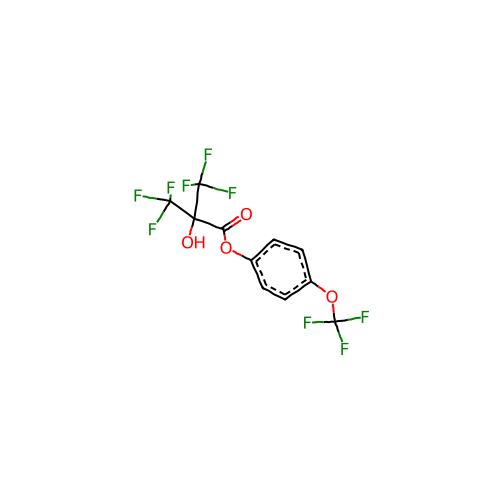 O=C(Oc1ccc(OC(F)(F)F)cc1)C(O)(C(F)(F)F)C(F)(F)F